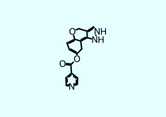 O=C(OC1=CC=C2OCC3=CNNC3=C2C1)c1ccncc1